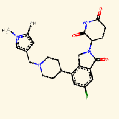 Cn1cc(CN2CCC(c3cc(F)cc4c3CN(C3CCC(=O)NC3=O)C4=O)CC2)cc1C#N